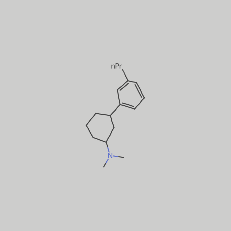 CCCc1cccc(C2CCCC(N(C)C)C2)c1